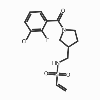 C=CS(=O)(=O)NCC1CCN(C(=O)c2cccc(Cl)c2F)C1